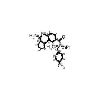 CCCN(C(=O)c1ccc2nc(N)c3c(c2c1)COC3)[C@@H](C)c1ccc(C(F)(F)F)cn1